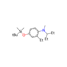 CCc1cc(O[Si](C)(C)C(C)(C)C)ccc1N(C)C(CC)CC